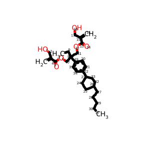 C=C(CO)C(=O)OCC(CC)(COC(=O)C(=C)CO)c1ccc(C2CCC(CCCCC)CC2)cc1